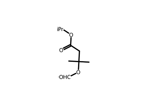 CC(C)OC(=O)CC(C)(C)O[C]=O